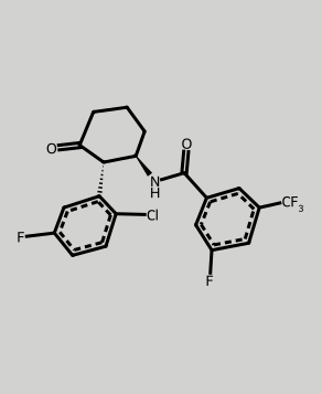 O=C(N[C@@H]1CCCC(=O)[C@H]1c1cc(F)ccc1Cl)c1cc(F)cc(C(F)(F)F)c1